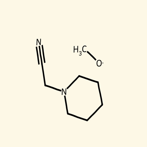 C[O].N#CCN1CCCCC1